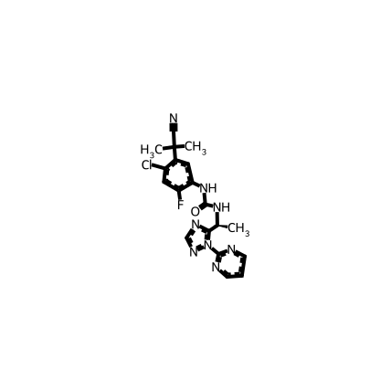 C[C@H](NC(=O)Nc1cc(C(C)(C)C#N)c(Cl)cc1F)c1ncnn1-c1ncccn1